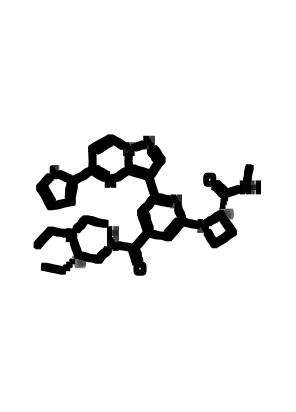 CC[C@@H](CNC(=O)c1cc(-c2cnn3ccc(-c4cccs4)nc23)nc(N2CC[C@H]2C(=O)NC)c1)N(CC)CC